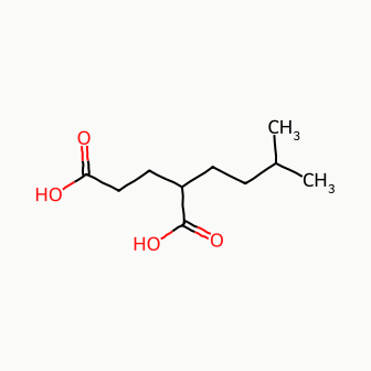 CC(C)CCC(CCC(=O)O)C(=O)O